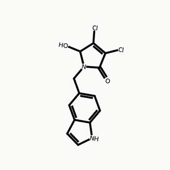 O=C1C(Cl)=C(Cl)C(O)N1Cc1ccc2[nH]ccc2c1